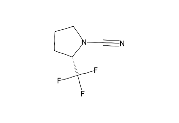 N#CN1CCC[C@H]1C(F)(F)F